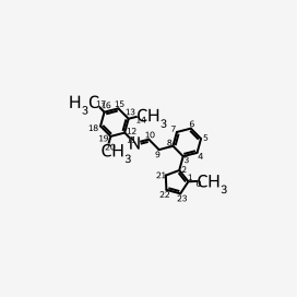 CC1=C(c2ccccc2CC=Nc2c(C)cc(C)cc2C)CC=C1